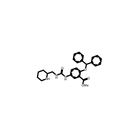 COC(=O)c1cc(NC(=O)NCC2CCCCN2)ccc1OC(c1ccccc1)c1ccccc1